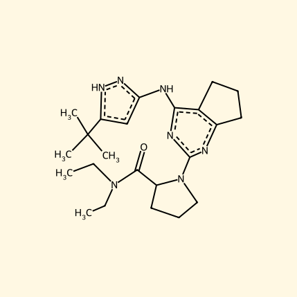 CCN(CC)C(=O)C1CCCN1c1nc2c(c(Nc3cc(C(C)(C)C)[nH]n3)n1)CCC2